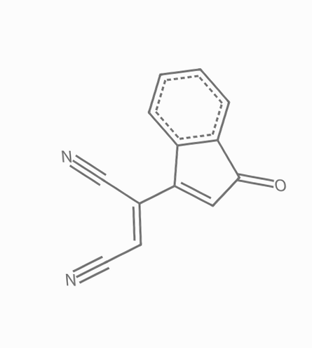 N#CC=C(C#N)C1=CC(=O)c2ccccc21